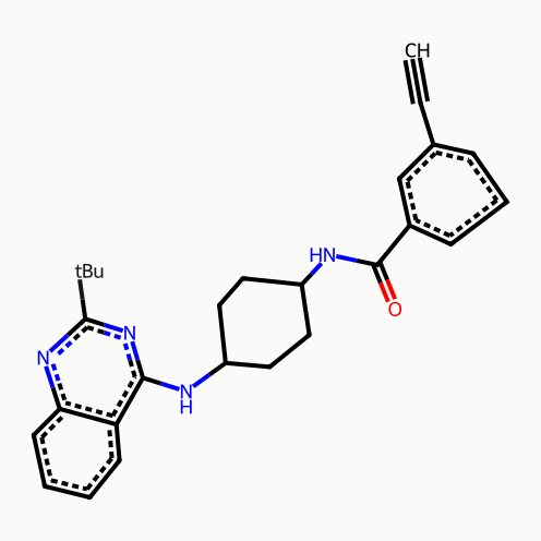 C#Cc1cccc(C(=O)NC2CCC(Nc3nc(C(C)(C)C)nc4ccccc34)CC2)c1